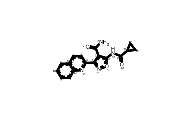 NC(=O)c1c(-c2ccc3ccccc3n2)noc1NC(=O)C1CC1